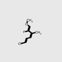 CO/C=C(F)/C(C)=C\C=C\Cl